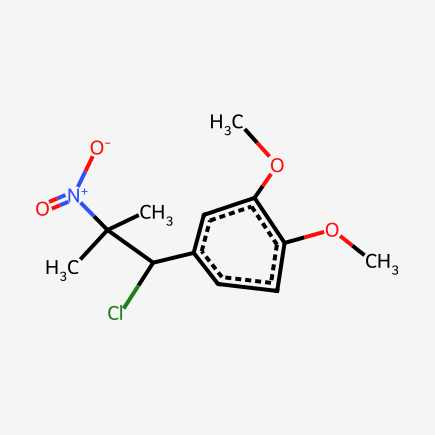 COc1ccc(C(Cl)C(C)(C)[N+](=O)[O-])cc1OC